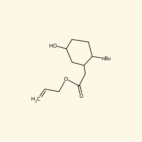 C=CCOC(=O)CC1CC(O)CCC1CCCC